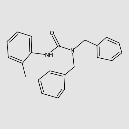 Cc1ccccc1NC(=O)N(Cc1ccccc1)Cc1ccccc1